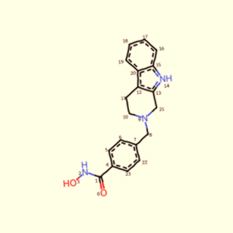 O=C(NO)c1ccc(CN2CCc3c([nH]c4ccccc34)C2)cc1